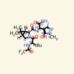 Cn1ncc(C(NC(=O)[C@@H]2[C@@H]3[C@H](CN2C(=O)C(NC(=O)C(F)(F)F)C(C)(C)C)C3(C)C)C(N)=O)c1O